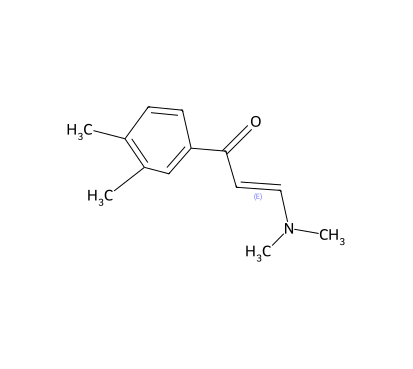 Cc1ccc(C(=O)/C=C/N(C)C)cc1C